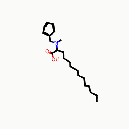 CCCCCCCCCCCCC(C(=O)O)N(C)Cc1ccccc1